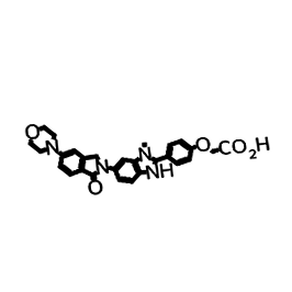 CN1c2cc(N3Cc4cc(N5CCOCC5)ccc4C3=O)ccc2NC1c1ccc(OCC(=O)O)cc1